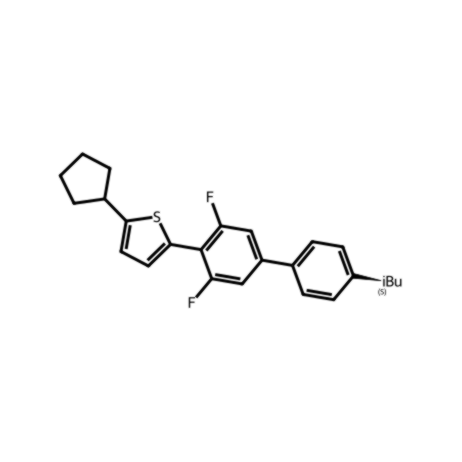 CC[C@H](C)c1ccc(-c2cc(F)c(-c3ccc(C4CCCC4)s3)c(F)c2)cc1